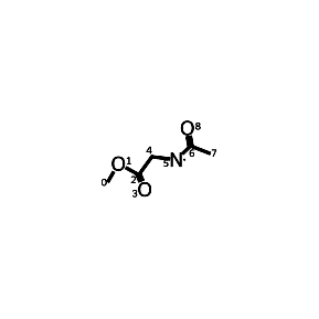 COC(=O)C[N]C(C)=O